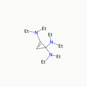 CCN(CC)C1=CC1(N(CC)CC)N(CC)CC